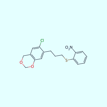 O=[N+]([O-])c1ccccc1SCCCc1cc2c(cc1Cl)COCO2